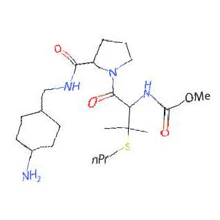 CCCSC(C)(C)C(NC(=O)OC)C(=O)N1CCCC1C(=O)NCC1CCC(N)CC1